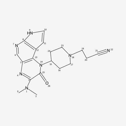 CN(C)c1nc2cnc3[nH]ccc3c2n(C2CCN(CCC#N)CC2)c1=O